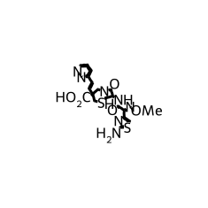 CON=C(C(=O)NC1C(=O)N2CC(C=Cc3cccnn3)(C(=O)O)CS[C@H]12)c1csc(N)n1